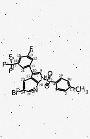 Cc1ccc(S(=O)(=O)n2cc(-c3cc(F)cc(C(F)(F)F)c3)c3cc(Br)cnc32)cc1